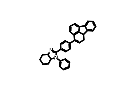 C1=C(c2ccc(C3=NC4CCCCC4N3c3ccccc3)cc2)c2cccc3c2C(C1)c1ccccc1-3